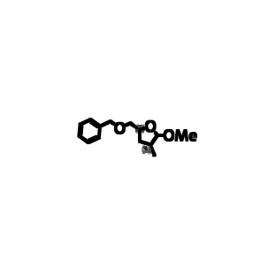 COC1O[C@H](COCc2ccccc2)C[C@@H]1C